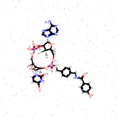 Nc1ncnc2c1ncn2[C@@H]1O[C@@H]2COP(=O)(SCc3ccc(CNC(=O)c4ccc(O)cc4)cc3)O[C@@H]3[C@H](F)[C@@H](COP(=O)(O)O[C@@H]1[C@@H]2F)O[C@H]3n1ccc(=O)[nH]c1=O